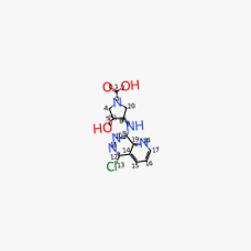 O=C(O)N1C[C@H](O)[C@H](Nc2nnc(Cl)c3cccnc23)C1